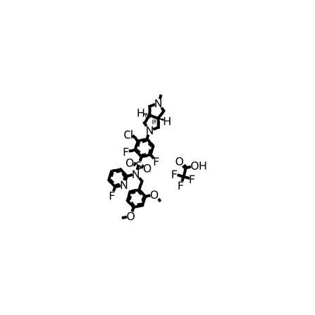 COc1ccc(CN(c2cccc(F)n2)S(=O)(=O)c2c(F)cc(N3C[C@H]4CN(C)C[C@@H]4C3)c(Cl)c2F)c(OC)c1.O=C(O)C(F)(F)F